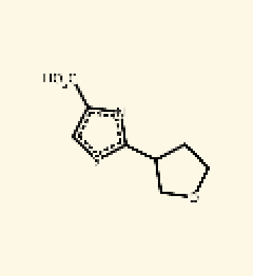 O=C(O)c1csc(C2CCOC2)n1